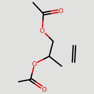 C=C.CC(=O)OCC(C)OC(C)=O